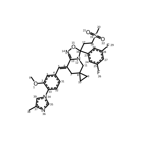 COc1cc(/C=C2\CC3(CC3)CN3C2=NOC3(CCS(C)(=O)=O)c2cc(F)cc(F)c2)ccc1-n1cnc(C)c1